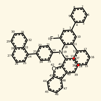 Fc1cc(-c2ccccc2)cc(-c2ccccc2)c1N(c1ccc(-c2cccc3ccccc23)cc1)c1cccc2c1oc1ccccc12